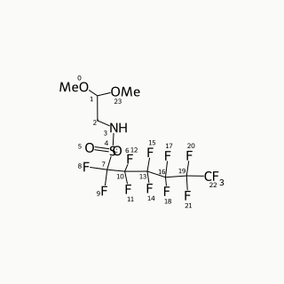 COC(CNS(=O)(=O)C(F)(F)C(F)(F)C(F)(F)C(F)(F)C(F)(F)C(F)(F)F)OC